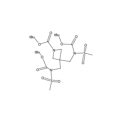 CC(C)(C)OC(=O)N1CC(CN(C(=O)OC(C)(C)C)S(C)(=O)=O)(CN(C(=O)OC(C)(C)C)S(C)(=O)=O)C1